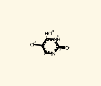 Cl.O=c1ncc(Cl)c[nH]1